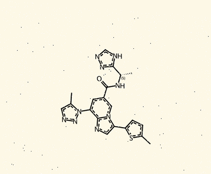 Cc1ccc(-c2cnc3c(-n4nncc4C)cc(C(=O)N[C@@H](C)c4nnc[nH]4)cn23)s1